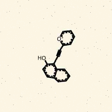 Oc1ccc2ccccc2c1C#Cc1cccc[o+]1